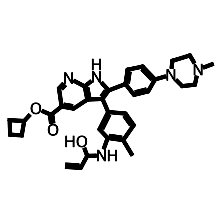 C=CC(O)Nc1cc(-c2c(-c3ccc(N4CCN(C)CC4)cc3)[nH]c3ncc(C(=O)OC4CCC4)cc23)ccc1C